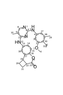 COc1cc(Nc2ncc(C)c(Nc3ccc4c(c3)C3CCC3C(=O)O4)n2)cc(C)c1F